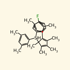 CC1=C(C)C(C)([SiH](c2cc(C)cc(C)c2)c2cc(C)cc(C)c2)C(c2ccc(F)cc2)=C1C